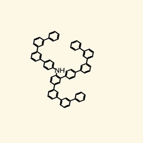 c1ccc(-c2cccc(-c3cccc(-c4ccc(Nc5ccc(-c6cccc(-c7cccc(-c8ccccc8)c7)c6)cc5-c5ccc(-c6cccc(-c7cccc(-c8ccccc8)c7)c6)cc5)cc4)c3)c2)cc1